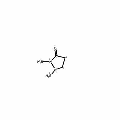 BN1CCC(=O)N1B